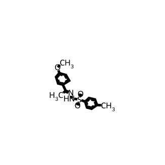 COc1ccc(C(C)=NNS(=O)(=O)c2ccc(C)cc2)cc1